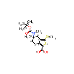 CSc1sc(C(=O)O)c2c1CC(C)(N(C)C(=O)OC(C)(C)C)CC2